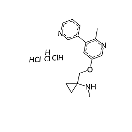 CNC1(COc2cnc(C)c(-c3cccnc3)c2)CC1.Cl.Cl.Cl